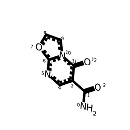 NC(=O)c1cnc2occn2c1=O